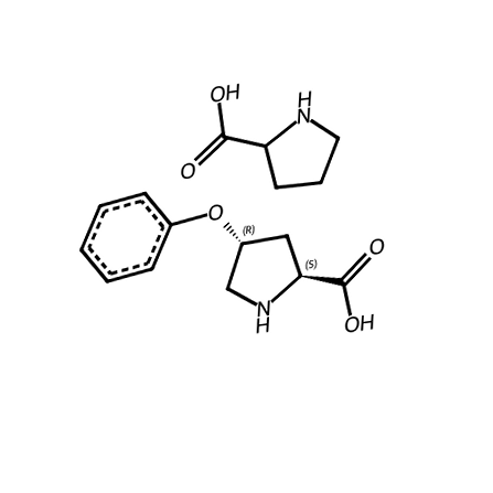 O=C(O)C1CCCN1.O=C(O)[C@@H]1C[C@@H](Oc2ccccc2)CN1